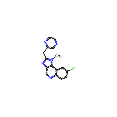 Cn1c(Cc2cnccn2)nc2cnc3ccc(Cl)cc3c21